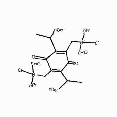 CCCCCCCCCCC(C)C1=C(C[N+](Cl)(C=O)CCC)C(=O)C(C(C)CCCCCCCCCC)=C(C[N+](Cl)(C=O)CCC)C1=O